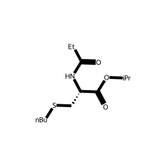 CCCCSC[C@H](NC(=O)CC)C(=O)OC(C)C